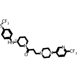 O=C(CCN1CCN(c2ccc(C(F)(F)F)nc2)CC1)N1CCC[C@H](Nc2ccc(SC(F)(F)F)cc2)C1